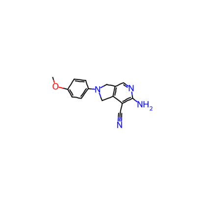 COc1ccc(N2Cc3cnc(N)c(C#N)c3C2)cc1